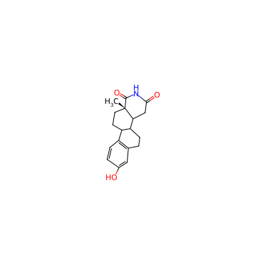 C[C@]12CCC3c4ccc(O)cc4CCC3C1CC(=O)NC2=O